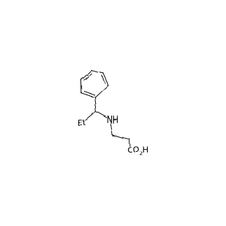 CCC(NCCC(=O)O)c1ccccc1